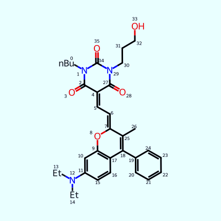 CCCCN1C(=O)/C(=C/C=C2\Oc3cc(N(CC)CC)ccc3C(c3ccccc3)=C2C)C(=O)N(CCCO)C1=O